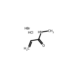 Br.C=CC(=O)NC.Cl